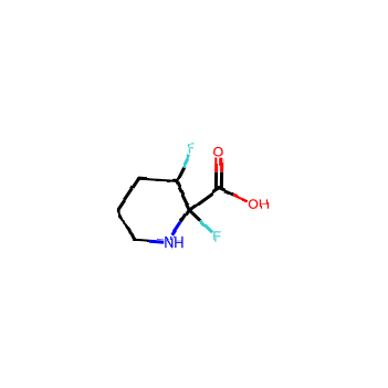 O=C(O)C1(F)NCCCC1F